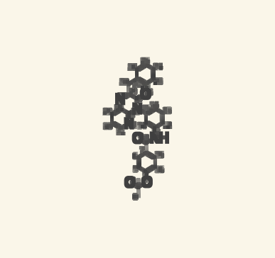 CC(=O)Oc1ccc(C(=O)Nc2cccc(-n3c(=O)c(Cc4ccccc4)nc4cccnc43)c2)cc1